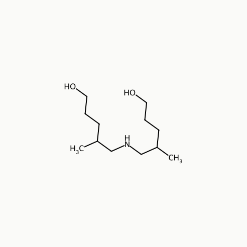 CC(CCCO)CNCC(C)CCCO